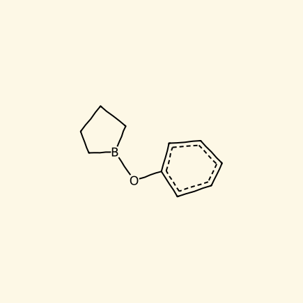 c1ccc(OB2CCCC2)cc1